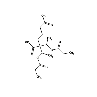 CCC(=O)OC(C)C(CCCC(=O)O)(C(=O)O)C(C)OC(=O)CC